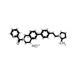 CC1CCCN1CCc1ccc(-c2ccc3c(c2)CCN(C(=O)c2ccccn2)C3)cc1.Cl